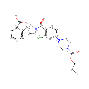 CCCOC(=O)N1CCN(c2ccc(C(=O)N3CC[C@@]4(C3)OC(=O)c3ccccc34)c(Cl)c2)CC1